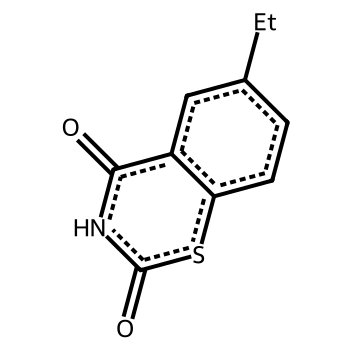 CCc1ccc2sc(=O)[nH]c(=O)c2c1